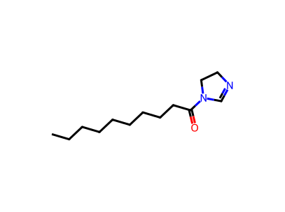 CCCCCCCCCC(=O)N1C=NCC1